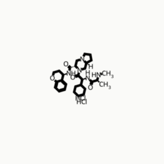 CN[C@@H](C)C(=O)N[C@H](C(=O)N1C[C@@H]2CCCN2C[C@H]1C(=O)N[C@@H]1CCOc2ccccc21)C1CCCCC1.Cl.Cl